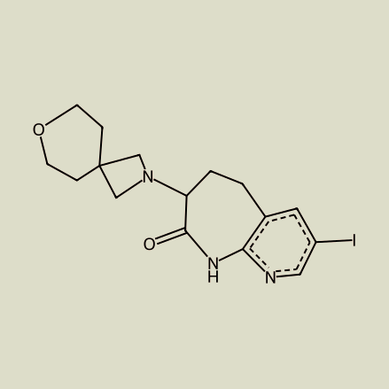 O=C1Nc2ncc(I)cc2CCC1N1CC2(CCOCC2)C1